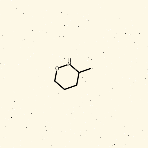 [CH2]C1CCCON1